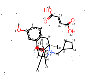 COc1ccc2c(c1)[C@]13CCN(CC4CCC4)[C@H](C2)[C@@H]1OC(C)(C)OC3.O=C(O)/C=C/C(=O)O